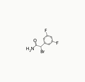 NC(=O)C(Br)c1cc(F)cc(F)c1